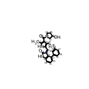 Cc1[nH]c(/C=C2\C(=O)Nc3cccc(-c4cccc(F)c4)c32)c(C)c1C(=O)N1CC[C@@H](O)C1